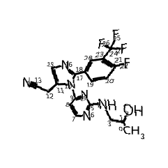 CC(O)CNc1nccc(-n2c(CC#N)cnc2-c2ccc(F)c(C(F)(F)F)c2)n1